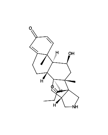 CCC(=O)[C@@]12CNC[C@@H]1C[C@H]1[C@@H]3CCC4=CC(=O)C=C[C@]4(C)[C@H]3[C@@H](O)C[C@@]12C